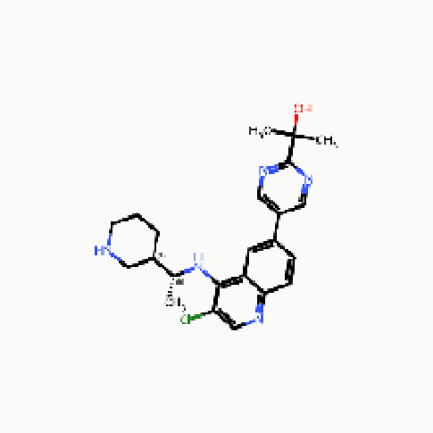 C[C@@H](Nc1c(Cl)cnc2ccc(-c3cnc(C(C)(C)O)nc3)cc12)[C@@H]1CCCNC1